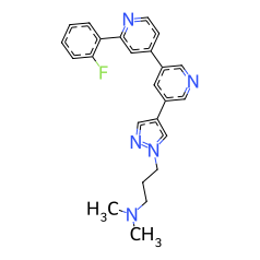 CN(C)CCCn1cc(-c2cncc(-c3ccnc(-c4ccccc4F)c3)c2)cn1